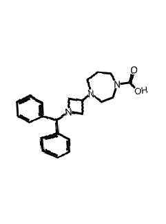 O=C(O)N1CCCN(C2CN(C(c3ccccc3)c3ccccc3)C2)CC1